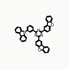 c1cc(-c2nc(-c3ccc4oc5ccccc5c4c3)nc(-c3ccc4oc5ccccc5c4c3)n2)cc(-n2c3ccccc3c3ccccc32)c1